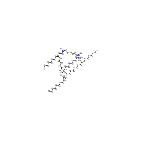 CCCCCCCCC(CCCCCCCCC1CC1CCCCCCCC)CCN(C)CCSSCCN(C)CCC(CCCCCCCC)CCCCCCCCC1CC1CCCCCCCC